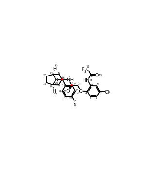 O=C(COc1ccc(Cl)cc1NC(=O)C(F)(F)F)N[C@H]1C[C@H]2CC[C@@H](C1)N2Cc1ccc(Cl)cc1